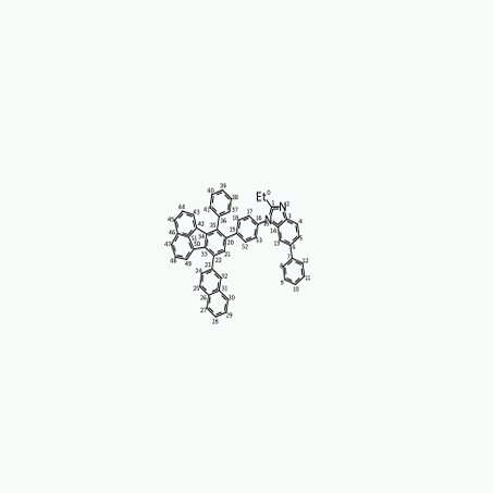 CCc1nc2ccc(-c3ccccc3)cc2n1-c1ccc(-c2cc(-c3ccc4ccccc4c3)c3c(c2-c2ccccc2)-c2cccc4cccc-3c24)cc1